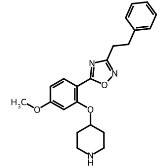 COc1ccc(-c2nc(CCc3ccccc3)no2)c(OC2CCNCC2)c1